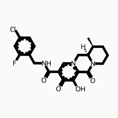 C[C@H]1CCCN2C(=O)c3c(O)c(=O)c(C(=O)NCc4ccc(Cl)cc4F)cn3C[C@@H]12